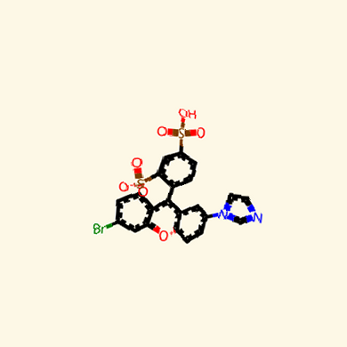 O=S(=O)([O-])c1cc(S(=O)(=O)O)ccc1-c1c2ccc(Br)cc2[o+]c2ccc(-n3ccnc3)cc12